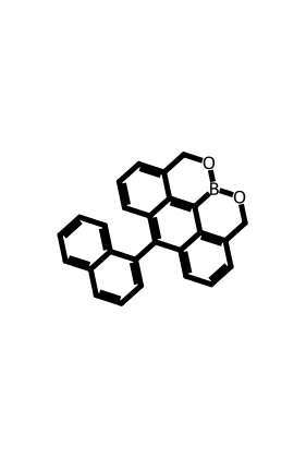 c1ccc2c(-c3c4cccc5c4c4c6c(cccc36)COB4OC5)cccc2c1